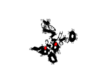 C=CCOC(=O)C(N1C(=O)[C@@H](NC(=O)COc2ccccc2)[C@H]1CCC1COC(C)(C)O1)=P(c1ccccc1)(c1ccccc1)c1ccccc1